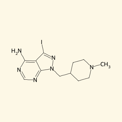 CN1CCC(Cn2nc(I)c3c(N)ncnc32)CC1